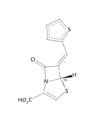 O=C(O)C1=CS[C@H]2/C(=C/c3cccs3)C(=O)N12